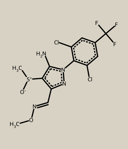 CO/N=C/c1nn(-c2c(Cl)cc(C(F)(F)F)cc2Cl)c(N)c1[S+](C)[O-]